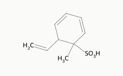 C=CC1C=CC=CC1(C)S(=O)(=O)O